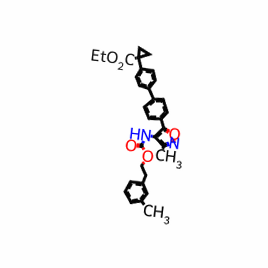 CCOC(=O)C1(c2ccc(-c3ccc(-c4onc(C)c4NC(=O)OCCc4cccc(C)c4)cc3)cc2)CC1